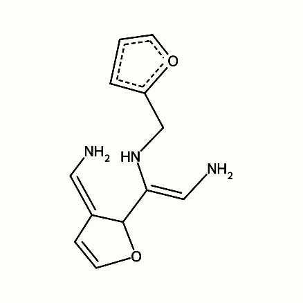 NC=C1C=COC1C(=CN)NCc1ccco1